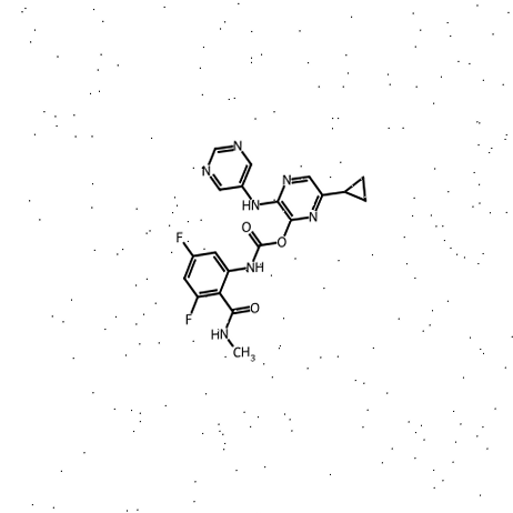 CNC(=O)c1c(F)cc(F)cc1NC(=O)Oc1nc(C2CC2)cnc1Nc1cncnc1